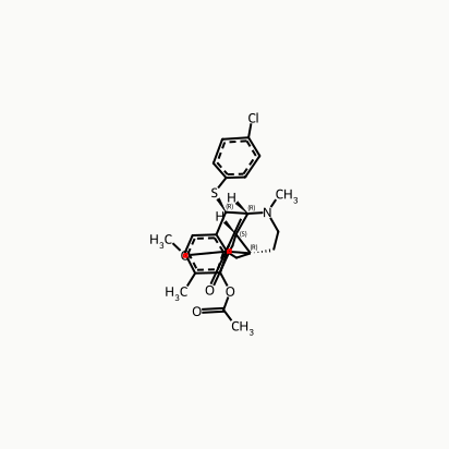 COC1=C[C@@H]2[C@@H]3[C@H](Sc4ccc(Cl)cc4)c4ccc(C)c(OC(C)=O)c4[C@]2(CCN3C)CC1=O